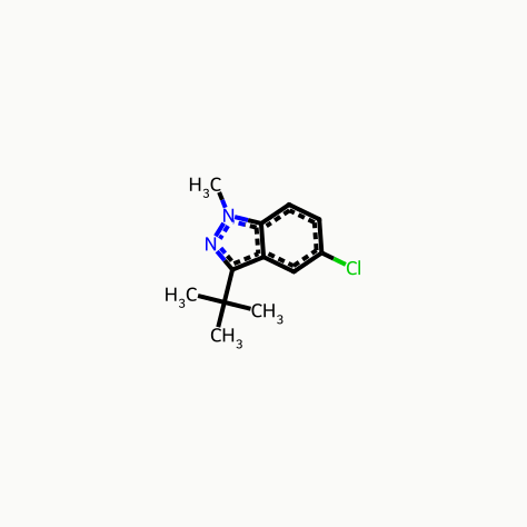 Cn1nc(C(C)(C)C)c2cc(Cl)ccc21